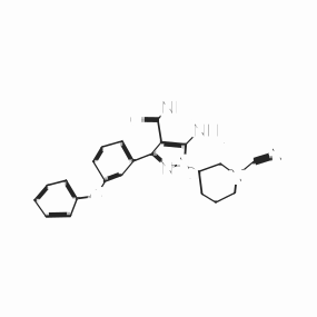 N#CN1CCC[C@@H](n2nc(-c3cccc(Oc4ccccc4)c3)c(C(N)=O)c2N)C1